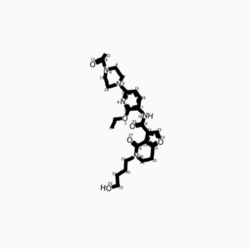 CCOc1nc(N2CCN(C(C)=O)CC2)ccc1NC(=O)c1coc2c1C(=O)N(CCCCO)CC2